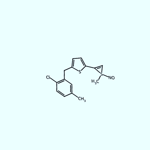 Cc1ccc(Cl)c(Cc2ccc(C3=CS3(C)N=O)s2)c1